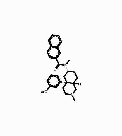 CC(=O)Oc1cccc([C@@]23CCN(C)C[C@H]2CC[C@@H](N(C)C(=O)c2ccc4ccccc4c2)C3)c1